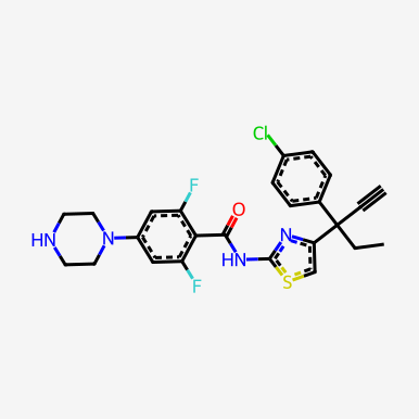 C#CC(CC)(c1ccc(Cl)cc1)c1csc(NC(=O)c2c(F)cc(N3CCNCC3)cc2F)n1